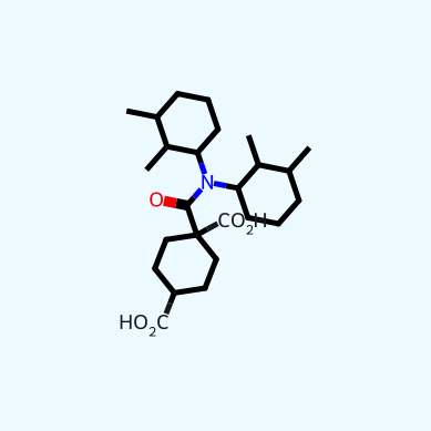 CC1CCCC(N(C(=O)C2(C(=O)O)CCC(C(=O)O)CC2)C2CCCC(C)C2C)C1C